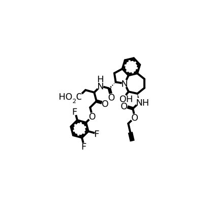 C#CCOC(=O)N[C@H]1CCc2cccc3c2N(C1O)[C@H](C(=O)NC(CC(=O)O)C(=O)COc1c(F)ccc(F)c1F)C3